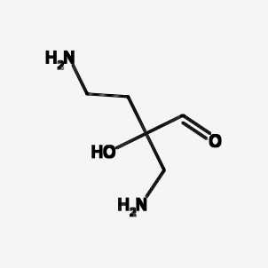 NCCC(O)(C=O)CN